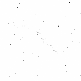 CC=CC=CC=CC=CCC(=O)O.[KH]